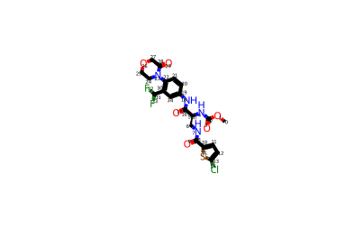 COC(=O)N[C@@H](CNC(=O)c1ccc(Cl)s1)C(=O)Nc1ccc(N2CCOCC2=O)c(C(F)F)c1